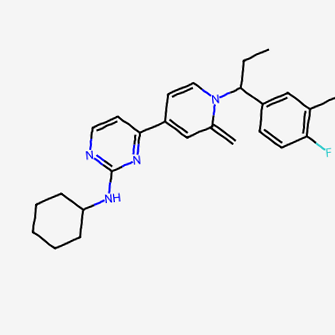 C=C1C=C(c2ccnc(NC3CCCCC3)n2)C=CN1C(CC)c1ccc(F)c(C)c1